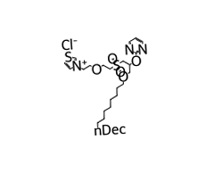 CCCCCCCCCCCCCCCCCCOCC(CS(=O)(=O)CCOCC[n+]1ccsc1)Oc1ncccn1.[Cl-]